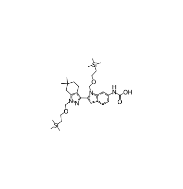 CC1(C)CCc2c(-c3cc4ccc(NC(=O)O)cc4n3COCC[Si](C)(C)C)nn(COCC[Si](C)(C)C)c2C1